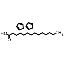 C1=CCC=C1.C1=CCC=C1.CCCCCCCCCCCCCC(=O)O